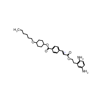 CCCCCCOC1CCC(OC(=O)c2ccc(/C=C/C(=O)OCCc3cc(N)ccc3N)cc2)CC1